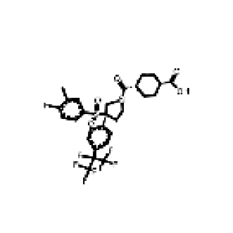 Cc1cc(S(=O)(=O)[C@@]2(c3ccc(C(F)(C(F)(F)F)C(F)(F)F)cc3)CCN(C(=O)[C@H]3CC[C@H](C(=O)O)CC3)C2)ccc1F